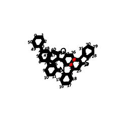 c1ccc(-c2ccc(-c3cccc(N(c4ccccc4-c4ccc5c(c4)sc4ccccc45)c4cccc5oc6ccccc6c45)c3)cc2)cc1